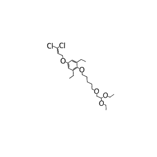 CCOC(COCCCCCOc1c(CC)cc(OCC=C(Cl)Cl)cc1CC)OCC